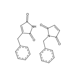 O=C1C=C(Cc2ccccc2)C(=O)N1.O=C1C=CC(=O)N1Cc1ccccc1